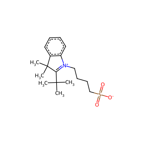 CC(C)(C)C1=[N+](CCCCS(=O)(=O)[O-])c2ccccc2C1(C)C